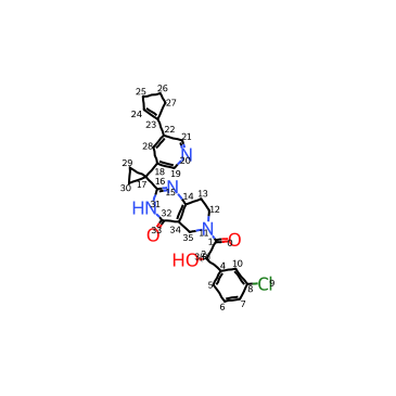 O=C([C@H](O)c1cccc(Cl)c1)N1CCc2nc(C3(c4cncc(C5=CCCC5)c4)CC3)[nH]c(=O)c2C1